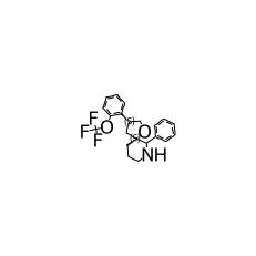 FC(F)(F)Oc1ccccc1[C@H]1CO[C@@]2(CCCNC2c2ccccc2)C1